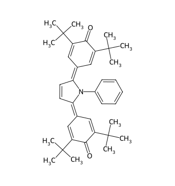 CC(C)(C)C1=CC(=c2ccc(=C3C=C(C(C)(C)C)C(=O)C(C(C)(C)C)=C3)n2-c2ccccc2)C=C(C(C)(C)C)C1=O